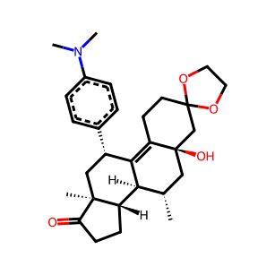 C[C@H]1C[C@@]2(O)CC3(CCC2=C2[C@@H]1[C@@H]1CCC(=O)[C@@]1(C)C[C@@H]2c1ccc(N(C)C)cc1)OCCO3